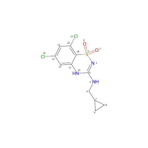 O=S1(=O)N=C(NCC2CC2)Nc2cc(Cl)cc(Cl)c21